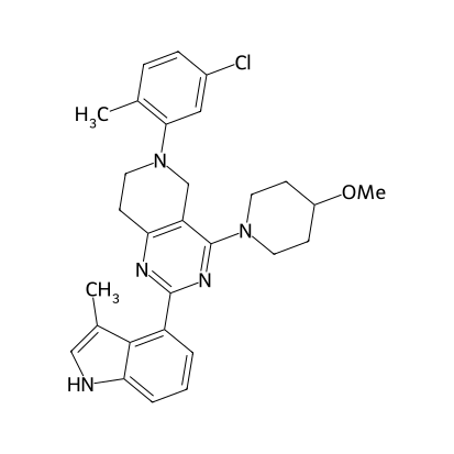 COC1CCN(c2nc(-c3cccc4[nH]cc(C)c34)nc3c2CN(c2cc(Cl)ccc2C)CC3)CC1